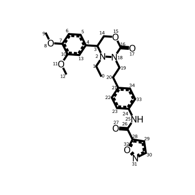 CCN1C(c2ccc(OC)c(OC)c2)COC(=O)N1CCc1ccc(NC(=O)c2ccno2)cc1